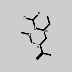 C=C(C)[C@H](COC)C[C@H](CC)OC(F)F